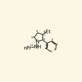 C/C=C\C(=C/C)C1C(CC)CCN1NCCC